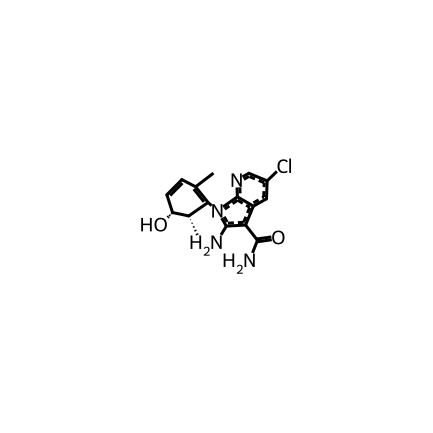 CC1=C(n2c(N)c(C(N)=O)c3cc(Cl)cnc32)[C@H](C)[C@H](O)C=C1